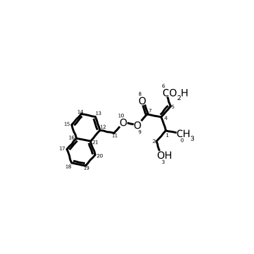 CC(CO)/C(=C/C(=O)O)C(=O)OOCc1cccc2ccccc12